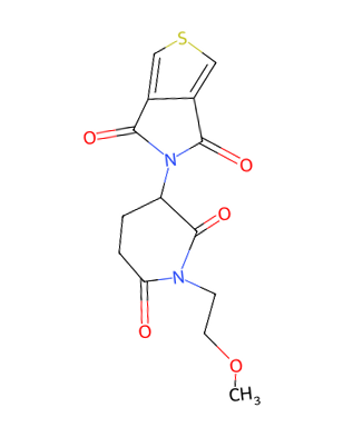 COCCN1C(=O)CCC(N2C(=O)c3cscc3C2=O)C1=O